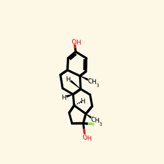 C[C@]12C=CC(O)=CC1CC[C@@H]1[C@H]2CC[C@@]2(C)[C@H]1CCC2(O)F